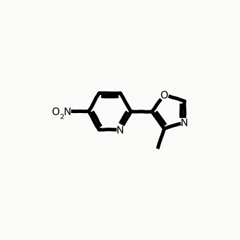 Cc1ncoc1-c1ccc([N+](=O)[O-])cn1